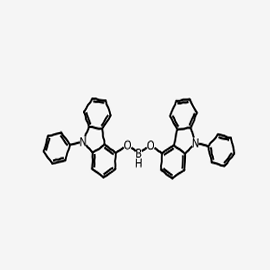 B(Oc1cccc2c1c1ccccc1n2-c1ccccc1)Oc1cccc2c1c1ccccc1n2-c1ccccc1